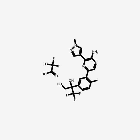 Cc1ccc(C(O)(CO)C(F)(F)F)cc1-c1cnc(N)c(-c2cnn(C)c2)n1.O=C(O)C(F)(F)F